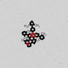 Cc1cccc(C)c1-c1ccc(N(c2ccc(-c3c(C)cccc3C)cc2)c2cc(-c3c(C)cccc3C)cc(C(c3cccc(Cl)c3)c3c(-c4ccccc4)cccc3-c3ccccc3)c2)cc1